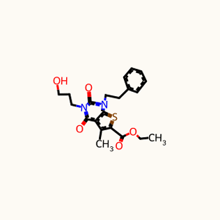 CCOC(=O)c1sc2c(c1C)c(=O)n(CCCO)c(=O)n2CCc1ccccc1